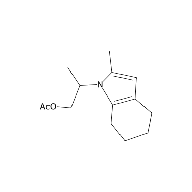 CC(=O)OCC(C)n1c(C)cc2c1CCCC2